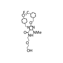 CNc1nc(OCc2cccc(C(F)(F)F)c2)n(Cc2ccc(Cl)cc2)c1C(=O)NCCOCCO